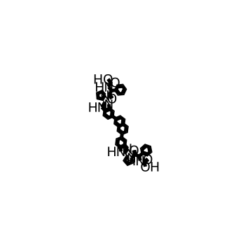 O=C(O)NC(C(=O)N1CCC[C@H]1c1nc2cc(-c3ccc4ccc(-c5ccc6[nH]c([C@@H]7CCCN7C(=O)C(NC(=O)O)c7ccccc7)nc6c5)cc4c3)ccc2[nH]1)c1ccccc1